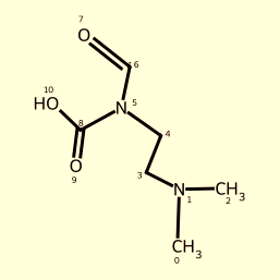 CN(C)CCN([C]=O)C(=O)O